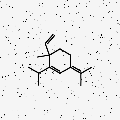 C=CC1(C)CCC(=C(C)C)C=C1C(C)C